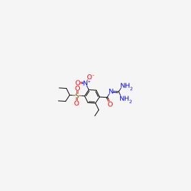 CCc1cc(S(=O)(=O)C(CC)CC)c([N+](=O)[O-])cc1C(=O)N=C(N)N